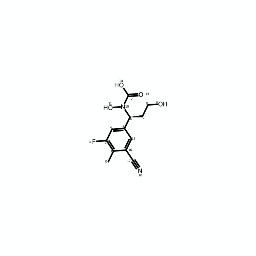 Cc1c(F)cc([C@H](CCO)N(O)C(=O)O)cc1C#N